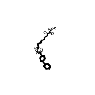 CNC(=O)C(=O)CCCCCCc1nnc(-c2ccc(-c3ccccc3)cc2)o1